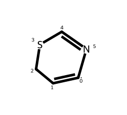 [C]1=CCSC=N1